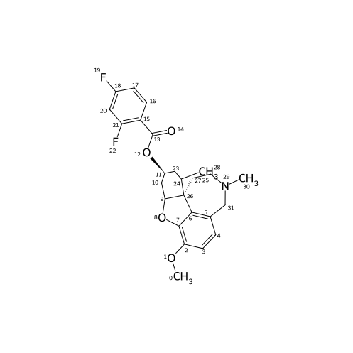 COc1ccc2c3c1OC1C[C@@H](OC(=O)c4ccc(F)cc4F)CC(C)[C@@]31CCN(C)C2